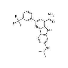 CC(C)Nc1ccc2c(c1)[nH]c1c(C(N)=O)cc(-c3cccc(C(F)(F)F)c3)nc12